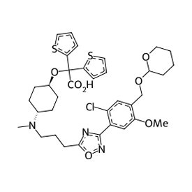 COc1cc(-c2noc(CCCN(C)[C@H]3CC[C@H](OC(C(=O)O)(c4cccs4)c4cccs4)CC3)n2)c(Cl)cc1COC1CCCCO1